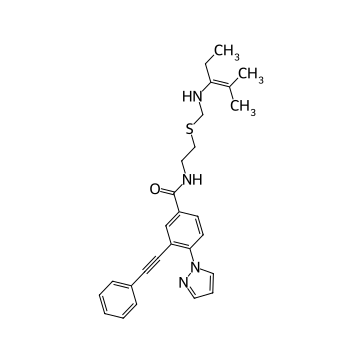 CCC(NCSCCNC(=O)c1ccc(-n2cccn2)c(C#Cc2ccccc2)c1)=C(C)C